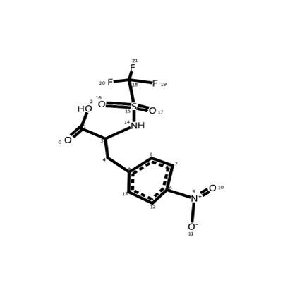 O=C(O)C(Cc1ccc([N+](=O)[O-])cc1)NS(=O)(=O)C(F)(F)F